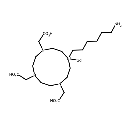 NCCCCCC[N+]1([Gd])CCN(CC(=O)O)CCN(CC(=O)O)CCN(CC(=O)O)CC1